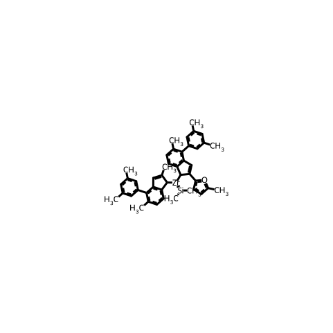 CC1=Cc2c(ccc(C)c2-c2cc(C)cc(C)c2)[CH]1[Zr]([CH]1C(c2ccc(C)o2)=Cc2c1ccc(C)c2-c1cc(C)cc(C)c1)=[Si](C)C